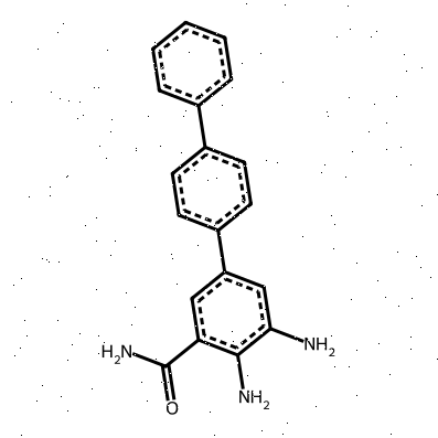 NC(=O)c1cc(-c2ccc(-c3ccccc3)cc2)cc(N)c1N